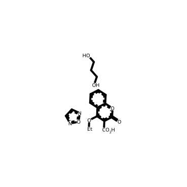 CCOc1c(C(=O)O)c(=O)oc2ccccc12.OCCCO.c1cnon1